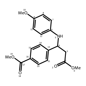 COC(=O)CC(Nc1ccc(OC)cc1)c1ccc(C(=O)OC)cc1